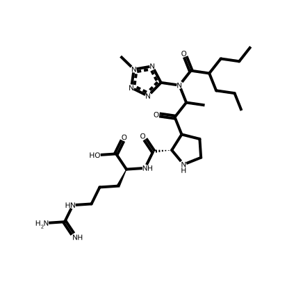 CCCC(CCC)C(=O)N(c1nnn(C)n1)C(C)C(=O)C1CCN[C@@H]1C(=O)N[C@@H](CCCNC(=N)N)C(=O)O